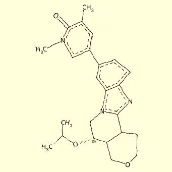 Cc1cc(-c2ccc3nc4n(c3c2)C[C@@H](OC(C)C)C2COCCC42)cn(C)c1=O